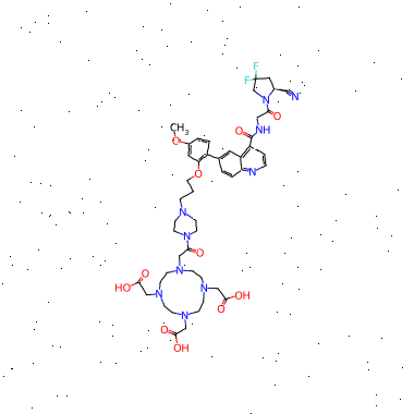 COc1ccc(-c2ccc3nccc(C(=O)NCC(=O)N4CC(F)(F)C[C@H]4C#N)c3c2)c(OCCCN2CCN(C(=O)CN3CCN(CC(=O)O)CCN(CC(=O)O)CCN(CC(=O)O)CC3)CC2)c1